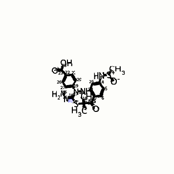 C[S+]([O-])Nc1ccc(C(=O)C(C)(C)S/C(=N/N)N(N)c2ccc(C(=O)O)cc2)cc1